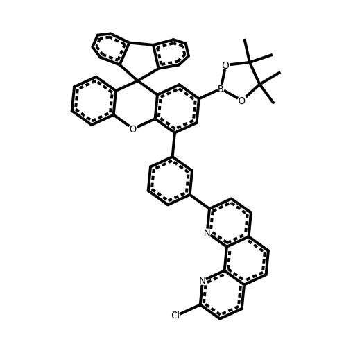 CC1(C)OB(c2cc(-c3cccc(-c4ccc5ccc6ccc(Cl)nc6c5n4)c3)c3c(c2)C2(c4ccccc4O3)c3ccccc3-c3ccccc32)OC1(C)C